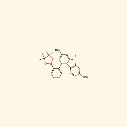 CC(C)(C)c1ccc2c(c1)C(C)(C)c1cc(C(C)(C)C)cc(-c3ccccc3B3OC(C)(C)C(C)(C)O3)c1-2